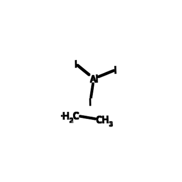 [CH2]C.[I][Al]([I])[I]